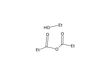 CCC(=O)OC(=O)CC.CCO